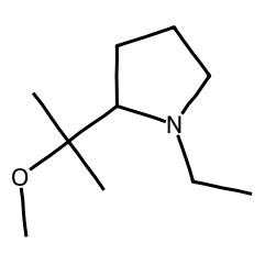 CCN1CCCC1C(C)(C)OC